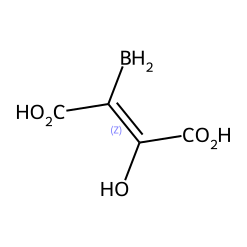 B/C(C(=O)O)=C(/O)C(=O)O